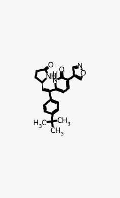 CC(C)(C)c1ccc(/C(=C/[C@H]2CCC(=O)N2)c2ccc(-c3cnoc3)c(=O)[nH]2)cc1